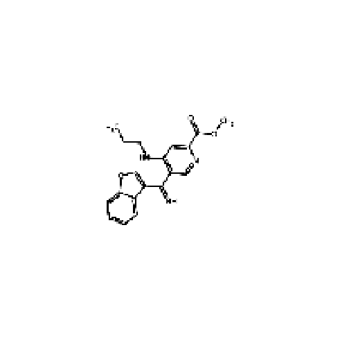 CCCNc1cc(C(=O)OC)ncc1C(=N)c1coc2ccccc12